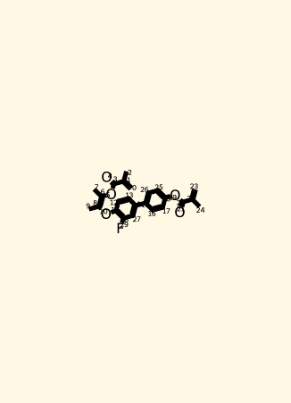 C=C(C)C(=O)OC(C)=C(C)Oc1ccc(-c2ccc(OC(=O)C(=C)C)cc2)cc1F